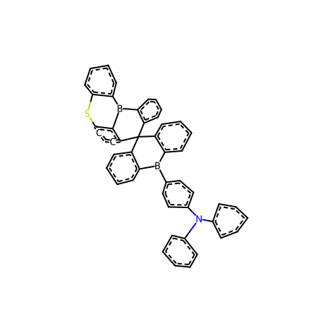 c1ccc(N(c2ccccc2)c2ccc(B3c4ccccc4C4(c5ccccc53)c3ccccc3B3c5ccccc5Sc5cccc4c53)cc2)cc1